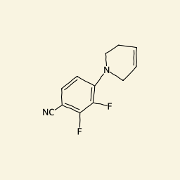 N#Cc1ccc(N2CC=CCC2)c(F)c1F